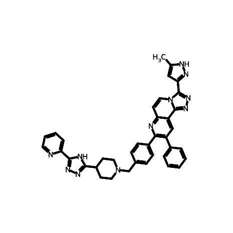 Cc1cc(-c2nnc3c4cc(-c5ccccc5)c(-c5ccc(CN6CCC(c7nnc(-c8ccccn8)[nH]7)CC6)cc5)nc4ccn23)n[nH]1